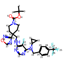 CC(C)(C)OC(=O)N1CCC(CNc2ncnc(N(Cc3ccc(C(F)(F)F)cc3)C3CC3)c2F)(c2ncon2)CC1